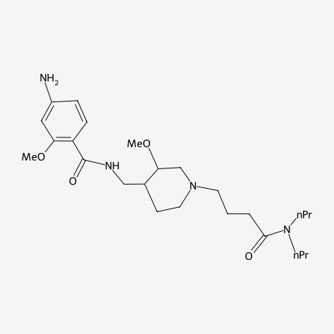 CCCN(CCC)C(=O)CCCN1CCC(CNC(=O)c2ccc(N)cc2OC)C(OC)C1